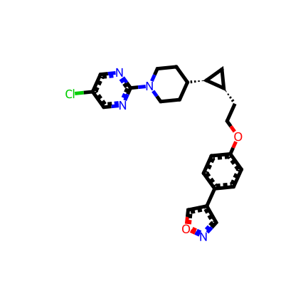 Clc1cnc(N2CCC([C@@H]3C[C@@H]3CCOc3ccc(-c4cnoc4)cc3)CC2)nc1